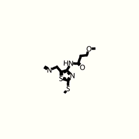 C=NCc1sc(SC)nc1NC(=O)CCOC